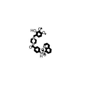 COc1ccc(CN2CCN(C(=O)c3ccc(NS(=O)(=O)c4cccc5cccnc45)cc3)CC2)c(O)c1OC